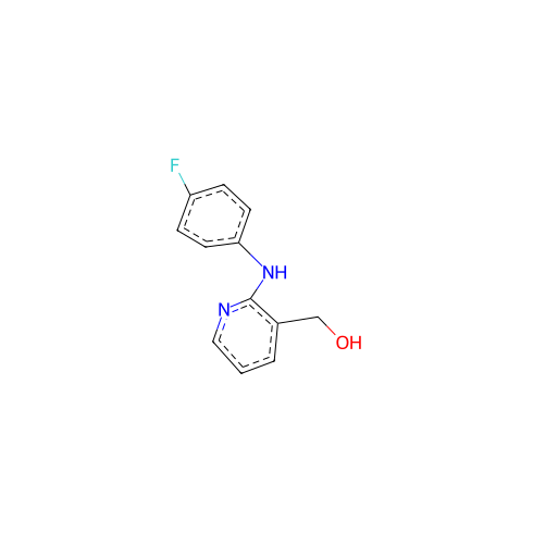 OCc1cccnc1Nc1ccc(F)cc1